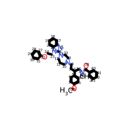 COc1ccc(C(CCN2CCCN(c3nc4ccccc4n3CCOc3ccccc3)CC2)CN(C)C(=O)c2ccccc2)cc1